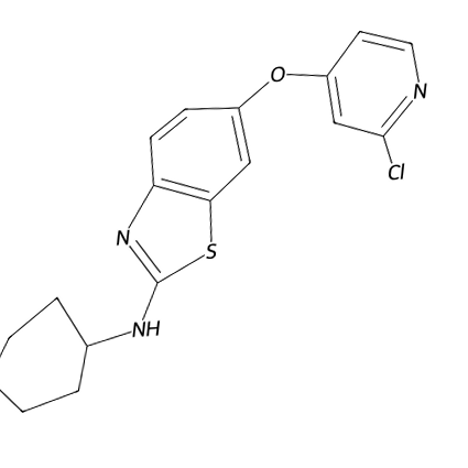 Clc1cc(Oc2ccc3nc(NC4CCCCC4)sc3c2)ccn1